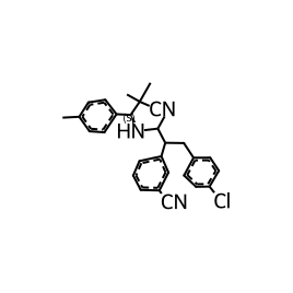 Cc1ccc([C@H](NC(C)C(Cc2ccc(Cl)cc2)c2cccc(C#N)c2)C(C)(C)C#N)cc1